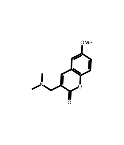 COc1ccc2oc(=O)c(CN(C)C)cc2c1